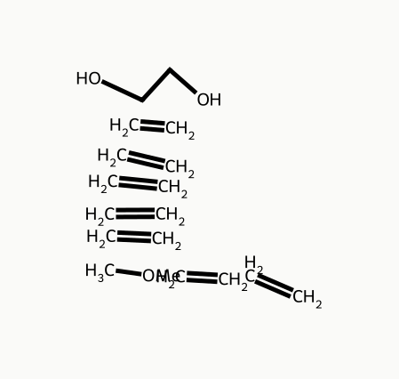 C=C.C=C.C=C.C=C.C=C.C=C.C=C.COC.OCCO